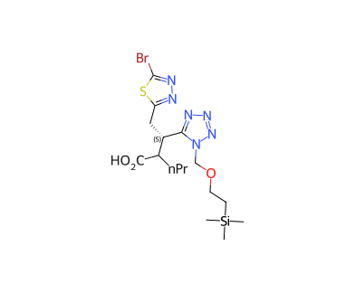 CCCC(C(=O)O)[C@H](Cc1nnc(Br)s1)c1nnnn1COCC[Si](C)(C)C